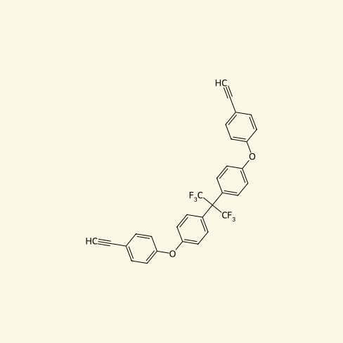 C#Cc1ccc(Oc2ccc(C(c3ccc(Oc4ccc(C#C)cc4)cc3)(C(F)(F)F)C(F)(F)F)cc2)cc1